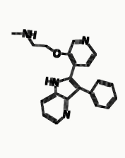 CNCCOc1cnccc1-c1[nH]c2cccnc2c1-c1ccccc1